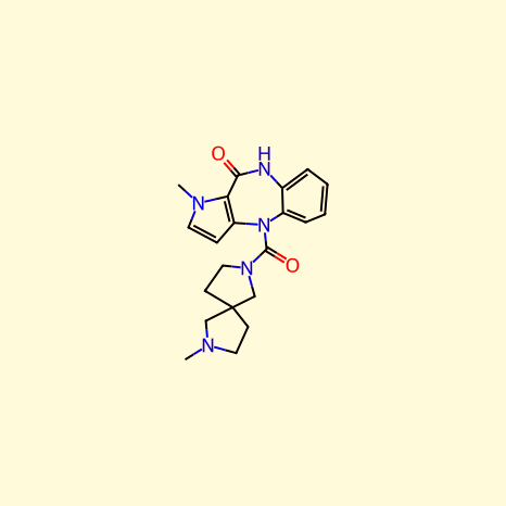 CN1CCC2(CCN(C(=O)N3c4ccccc4NC(=O)c4c3ccn4C)C2)C1